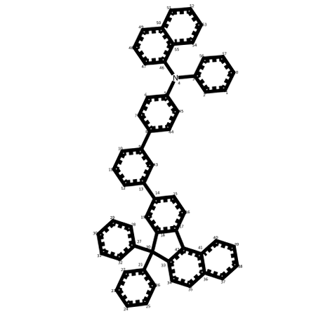 c1ccc(N(c2ccc(-c3cccc(-c4ccc5c(c4)C(c4ccccc4)(c4ccccc4)c4ccc6ccccc6c4-5)c3)cc2)c2cccc3ccccc23)cc1